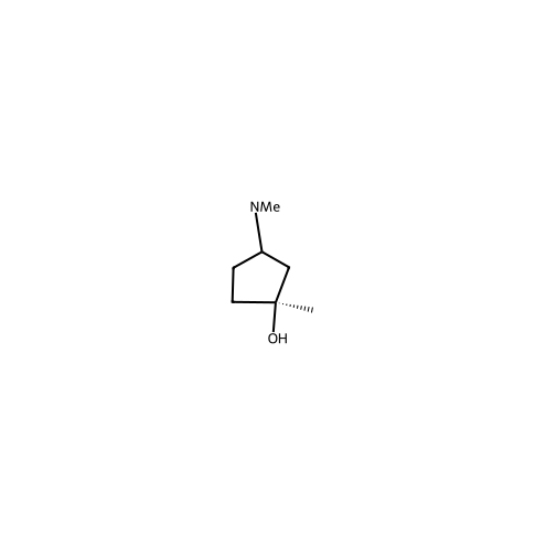 CNC1CC[C@](C)(O)C1